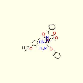 COc1ccc(C[C@H](NC(=O)[C@@H](N)COCc2ccccc2)C(=O)N[C@@H](Cc2ccccc2)C(=O)[C@@]2(C)CO2)cc1